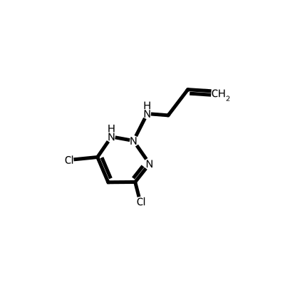 C=CCNN1N=C(Cl)C=C(Cl)N1